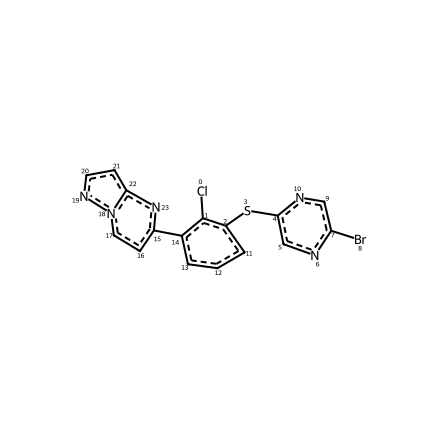 Clc1c(Sc2cnc(Br)cn2)cccc1-c1ccn2nccc2n1